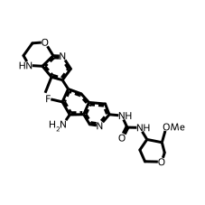 COC1COCCC1NC(=O)Nc1cc2cc(-c3cnc4c(c3C)NCCO4)c(F)c(N)c2cn1